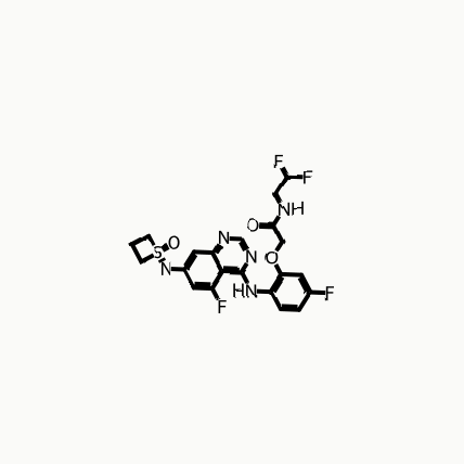 O=C(COc1cc(F)ccc1Nc1ncnc2cc(N=S3(=O)CCC3)cc(F)c12)NCC(F)F